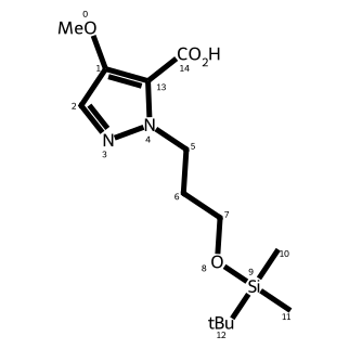 COc1cnn(CCCO[Si](C)(C)C(C)(C)C)c1C(=O)O